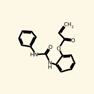 C=CC(=O)Oc1ccccc1NC(=O)Nc1ccccc1